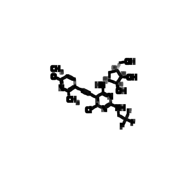 COc1ccc(C#Cc2c(Cl)nc(NCC(F)(F)F)nc2N[C@@H]2C[C@H](CO)[C@@H](O)[C@H]2O)c(C)n1